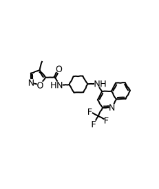 Cc1cnoc1C(=O)NC1CCC(Nc2cc(C(F)(F)F)nc3ccccc23)CC1